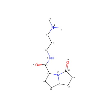 CN(C)CCCNC(=O)C1CCC2CCC(=O)N21